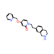 O=c1cc(OCc2ccccn2)ccn1CCc1ccc2c(c1)CNCC2